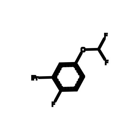 CC(C)c1cc(OC(F)F)ccc1F